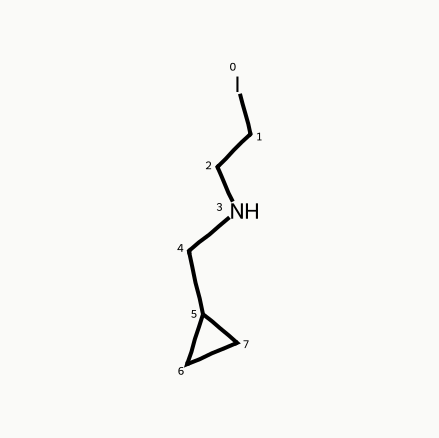 ICCNCC1CC1